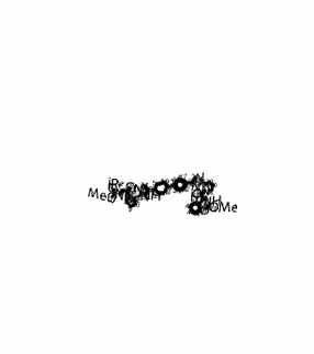 COC(=O)N[C@H](C(=O)N1CCC[C@H]1c1ncc([C@H]2CC[C@H](c3ccc(-c4cnc([C@@H]5CCCN5C(=O)[C@H](NC(=O)OC)c5ccccc5)[nH]4)cc3)CC2)[nH]1)C(C)C